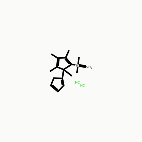 CC1=C(C)C(C)(C2=CC=CC2)[C]([Zr]([CH3])([CH3])=[SiH2])=C1C.Cl.Cl